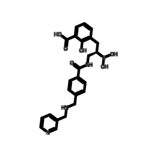 O=C(NC[C@@H](Cc1cccc(C(=O)O)c1O)B(O)O)c1ccc(CNCc2cccnc2)cc1